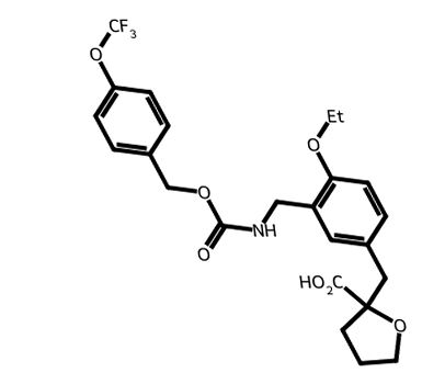 CCOc1ccc(CC2(C(=O)O)CCCO2)cc1CNC(=O)OCc1ccc(OC(F)(F)F)cc1